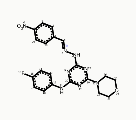 O=[N+]([O-])c1ccc(/C=N/Nc2nc(Nc3ccc(F)cc3)nc(N3CCOCC3)n2)cc1